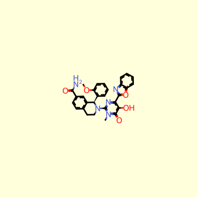 COc1ccccc1[C@@H]1c2cc(C(N)=O)ccc2CCN1c1nc(-c2nc3ccccc3o2)c(O)c(=O)n1C